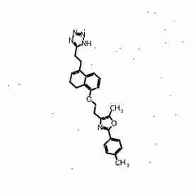 Cc1ccc(-c2nc(CCOc3cccc4c3CCC=C4CCc3nnn[nH]3)c(C)o2)cc1